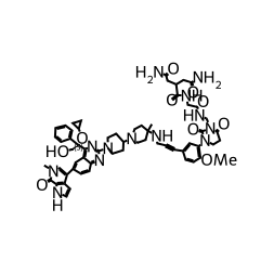 COc1ccc(C#CCNC2(C)CCN(C3CCN(c4nc([C@@](CO)(OC5CC5)c5ccccc5)c5cc(-c6cn(C)c(=O)c7[nH]ccc67)ccc5n4)CC3)CC2)cc1N1CCC(=O)N(CNC(=O)CNC(=O)C(CC(N)=O)CC(N)=O)C1=O